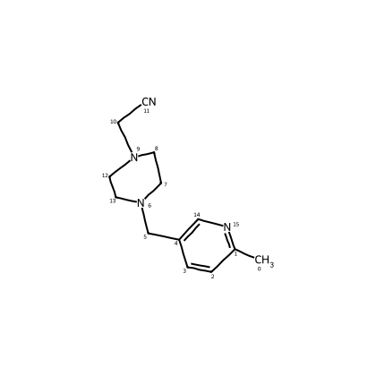 Cc1ccc(CN2CCN(CC#N)CC2)cn1